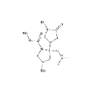 CCN1CC([C@@]2(O[SiH](C)C)C[C@H](C(C)(C)C)CN2C(=O)OC(C)(C)C)CC1=O